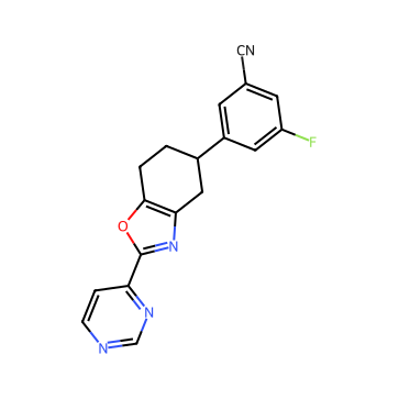 N#Cc1cc(F)cc(C2CCc3oc(-c4ccncn4)nc3C2)c1